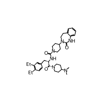 CCc1ccc(C[C@@H](NC(=O)N2CCC(N3CCc4ccccc4NC3=O)CC2)C(=O)N2CCC(N(C)C)CC2)cc1CC